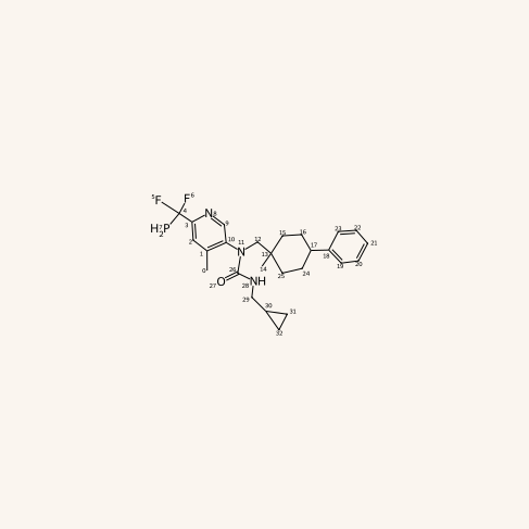 Cc1cc(C(F)(F)P)ncc1N(CC1(C)CCC(c2ccccc2)CC1)C(=O)NCC1CC1